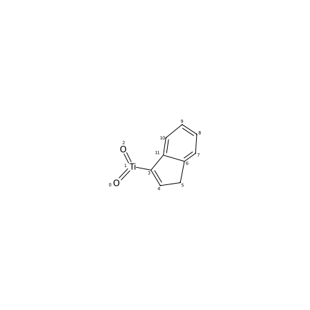 [O]=[Ti](=[O])[C]1=CCc2ccccc21